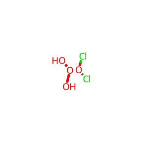 ClOCl.OOO